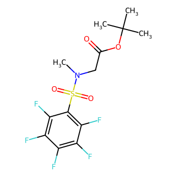 CN(CC(=O)OC(C)(C)C)S(=O)(=O)c1c(F)c(F)c(F)c(F)c1F